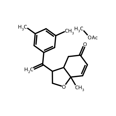 C=C(c1cc(C)cc(C)c1)C1COC2(C)C=CC(=O)CC12.COC(C)=O